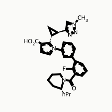 CCC[C@@H]1CCCCN1C(=O)c1cccc(-c2cccc(-n3ccc(C(=O)O)c3[C@@H]3C[C@H]3c3cn(C)nn3)c2)c1F